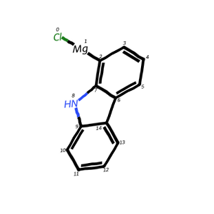 [Cl][Mg][c]1cccc2c1[nH]c1ccccc12